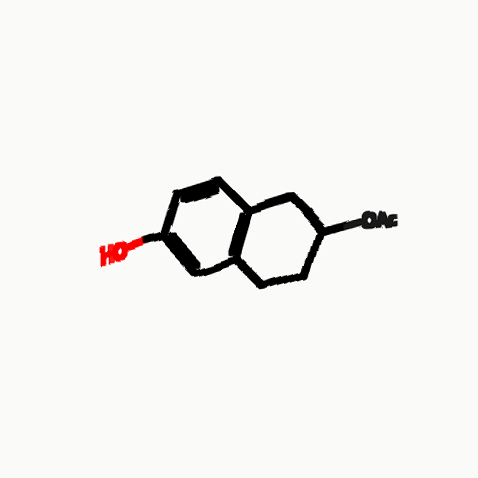 CC(=O)OC1CCc2cc(O)ccc2C1